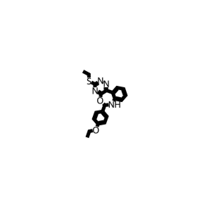 CCOc1ccc(C2Nc3ccccc3-c3nnc(SCC)nc3O2)cc1